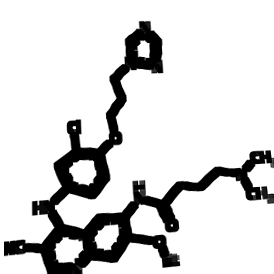 CCOc1cc2ncc(C#N)c(Nc3ccc(OCCCn4cncn4)c(Cl)c3)c2cc1NC(=O)CCCN(C)C